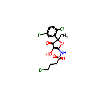 CC1(c2cc(F)ccc2Cl)OC(NS(=O)(=O)CCCBr)=C(O)C1=O